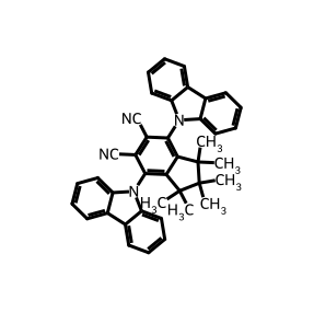 CC1(C)c2c(-n3c4ccccc4c4ccccc43)c(C#N)c(C#N)c(-n3c4ccccc4c4ccccc43)c2C(C)(C)C1(C)C